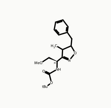 COC[C@H](NC(=O)OC(C)(C)C)C1=NOC(Cc2ccccc2)C1C